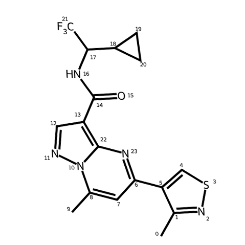 Cc1nscc1-c1cc(C)n2ncc(C(=O)NC(C3CC3)C(F)(F)F)c2n1